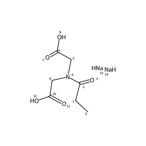 CCC(=O)N(CC(=O)O)CC(=O)O.[NaH].[NaH]